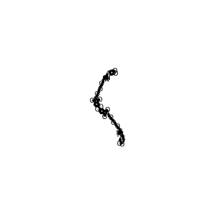 O=C1c2ccc(S(=O)(=O)c3ccc4c(c3)C(=O)N(CCOCCOCCOCCn3cc(CN5CCS(=O)(=O)CC5)nn3)C4=O)cc2C(=O)N1CCOCCOCCOCCn1cc(CN2CCS(=O)(=O)CC2)nn1